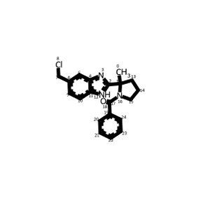 CC1(c2nc3cc(CCl)ccc3[nH]2)CCCN1C(=O)c1ccccc1